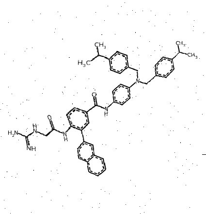 CC(C)c1ccc(CN(Cc2ccc(C(C)C)cc2)c2ccc(NC(=O)c3ccc(NC(=O)CNC(=N)N)c(-c4ccc5ccccc5c4)c3)cc2)cc1